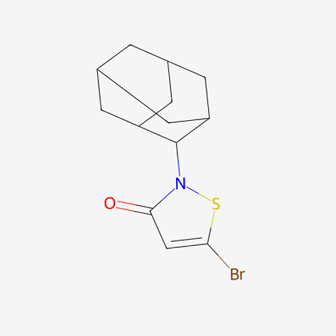 O=c1cc(Br)sn1C1C2CC3CC(C2)CC1C3